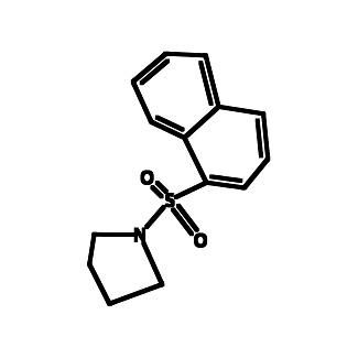 O=S(=O)(c1cccc2ccccc12)N1CCCC1